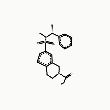 CC(C)C(=O)N1CCc2ccc(S(=O)(=O)N(C)[C@@H](C)c3ccccc3)cc2C1